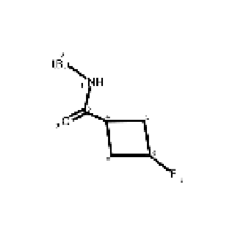 CC(C)(C)NC(=O)C1CC(F)C1